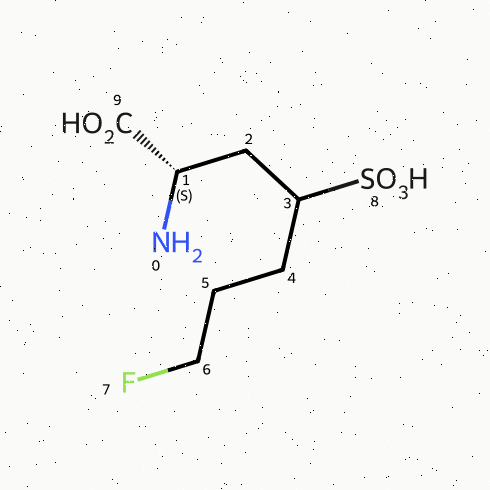 N[C@@H](CC(CCCF)S(=O)(=O)O)C(=O)O